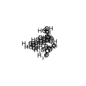 COc1cc(OC)c2c(c1)OC(c1ccccc1)CC2=O.C[C@@H]1O[C@@H](OC[C@H]2O[C@@H](Oc3cc(O)c4c(c3)OC(c3ccc(O)c(O)c3)CC4=O)[C@H](O)[C@@H](O)[C@@H]2O)[C@H](O)[C@H](O)[C@H]1O